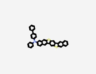 c1ccc(-c2ccc(N(c3ccccc3)c3ccc4cc5c(cc4c3)sc3cc4c(cc35)sc3cc5ccccc5cc34)cc2)cc1